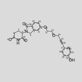 O=C1CCC(N2Cc3cc(OCCOCC#Cc4ccc(O)cn4)ccc3C2=O)C(=O)N1